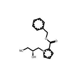 N#CC[C@H](O)Cn1cccc1C(=O)OCc1ccccc1